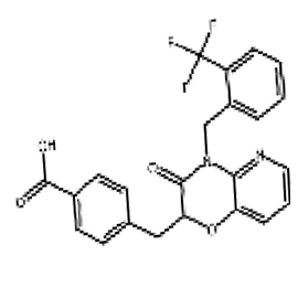 O=C(O)c1ccc(CC2Oc3cccnc3N(Cc3ccccc3C(F)(F)F)C2=O)cc1